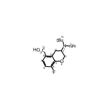 CCCN(C1COc2c(F)ccc(C(=O)O)c2C1)C(C)(C)C